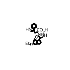 CCOc1ccc2c(c1)CCC2C(CS)C(=O)NC(Cc1c[nH]c2ccccc12)C(=O)O